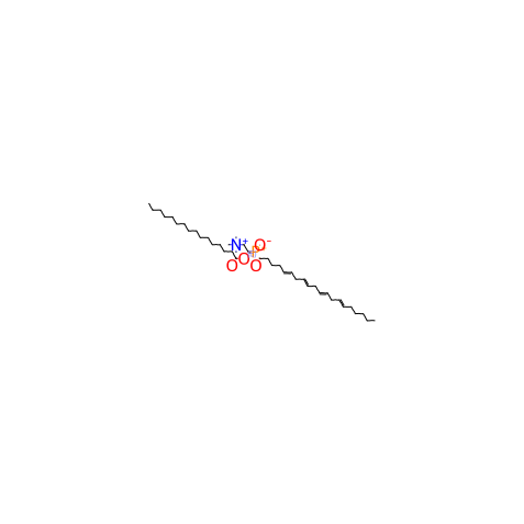 CCCCCC=CCC=CCC=CCC=CCCCC(=O)/[P+]([O-])=C(/C[N+](C)(C)C)OC(=O)CCCCCCCCCCCCCCC